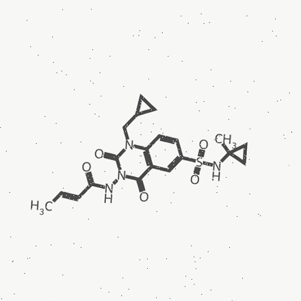 C/C=C/C(=O)Nn1c(=O)c2cc(S(=O)(=O)NC3(C)CC3)ccc2n(CC2CC2)c1=O